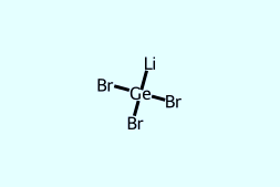 [Li][Ge]([Br])([Br])[Br]